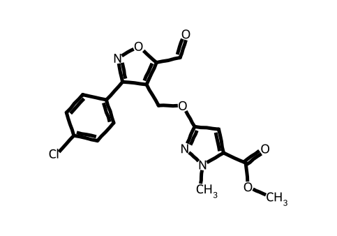 COC(=O)c1cc(OCc2c(-c3ccc(Cl)cc3)noc2C=O)nn1C